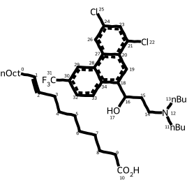 CCCCCCCCC=CCCCCCCCC(=O)O.CCCCN(CCCC)CCC(O)c1cc2c(Cl)cc(Cl)cc2c2cc(C(F)(F)F)ccc12